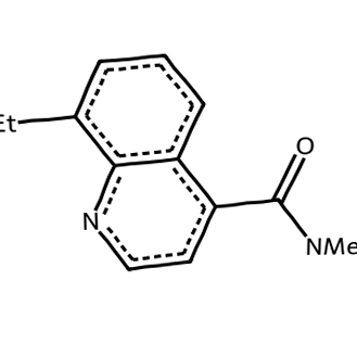 CCc1cccc2c(C(=O)NC)ccnc12